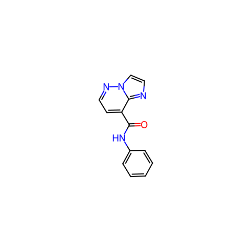 O=C(Nc1ccccc1)c1ccnn2ccnc12